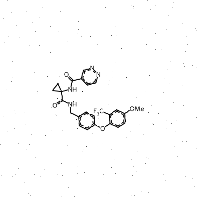 COc1ccc(Oc2ccc(CNC(=O)C3(NC(=O)c4ccnnc4)CC3)cc2)c(C(F)(F)F)c1